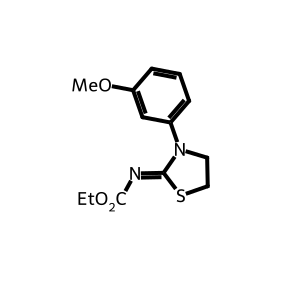 CCOC(=O)/N=C1\SCCN1c1cccc(OC)c1